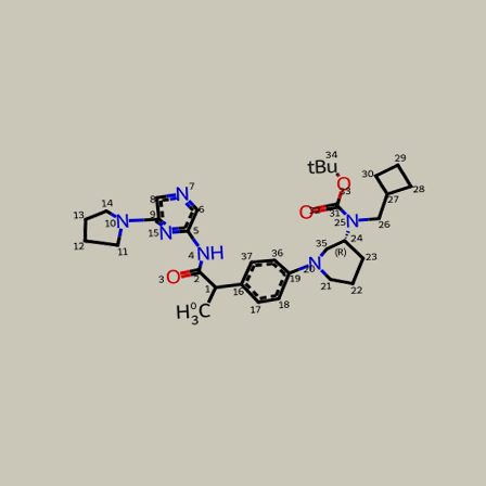 CC(C(=O)Nc1cncc(N2CCCC2)n1)c1ccc(N2CCC[C@@H](N(CC3CCC3)C(=O)OC(C)(C)C)C2)cc1